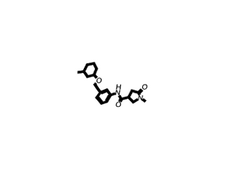 CC1CCCC(OCc2cccc(NC(=O)C3CC(=O)N(C)C3)c2)C1